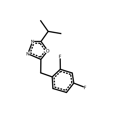 CC(C)c1nnc(Cc2ccc(F)cc2F)o1